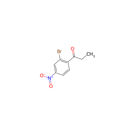 CCC(=O)c1ccc([N+](=O)[O-])cc1Br